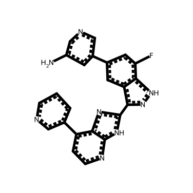 Nc1cncc(-c2cc(F)c3[nH]nc(-c4nc5c(-c6cccnc6)ccnc5[nH]4)c3c2)c1